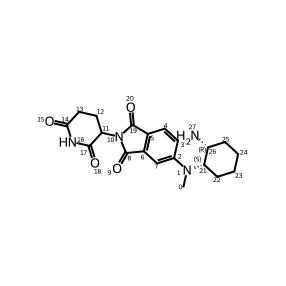 CN(c1ccc2c(c1)C(=O)N(C1CCC(=O)NC1=O)C2=O)[C@H]1CCCC[C@H]1N